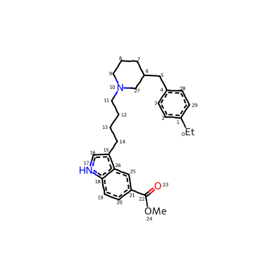 CCc1ccc(CC2CCCN(CCCCc3c[nH]c4ccc(C(=O)OC)cc34)C2)cc1